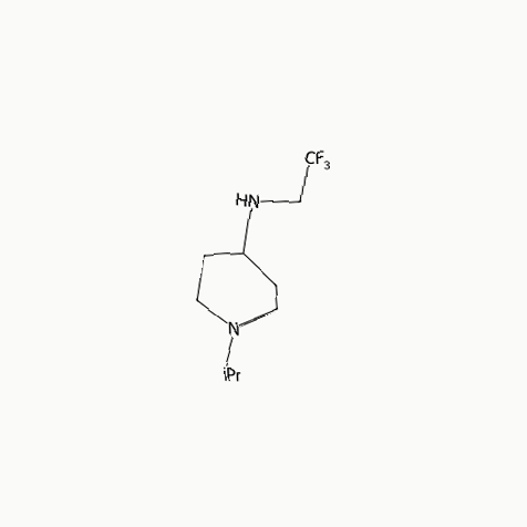 CC(C)N1CCC(NCC(F)(F)F)CC1